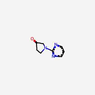 O=C1CCN(c2ncccn2)C1